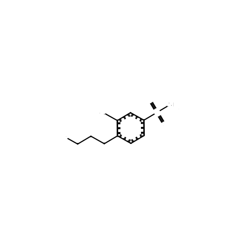 NS(=O)(=O)c1ccc(CCC[O])c(Cl)c1